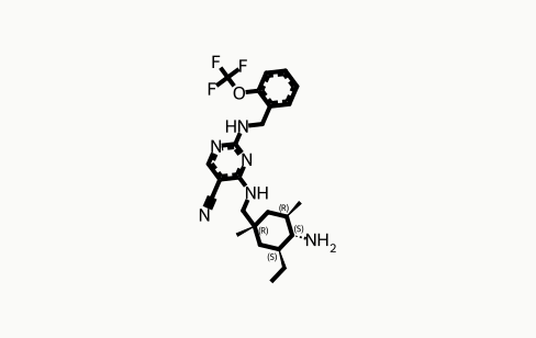 CC[C@H]1C[C@](C)(CNc2nc(NCc3ccccc3OC(F)(F)F)ncc2C#N)C[C@@H](C)[C@@H]1N